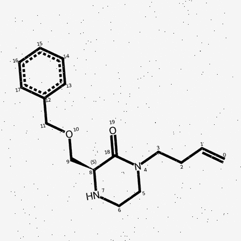 C=CCCN1CCN[C@@H](COCc2ccccc2)C1=O